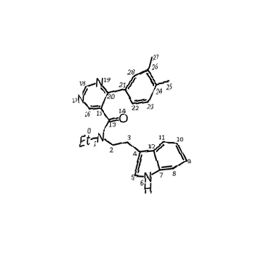 CCN(CCc1c[nH]c2ccccc12)C(=O)c1cncnc1-c1ccc(C)c(C)c1